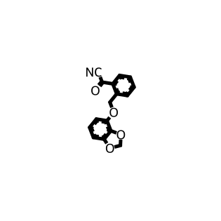 N#CC(=O)c1ccccc1COc1cccc2c1OCO2